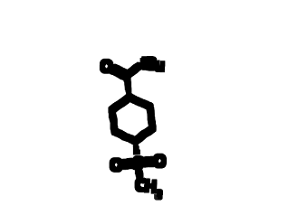 CC(C)(C)C(=O)[C@H]1CC[C@H](S(C)(=O)=O)CC1